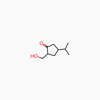 CC(C)C1CC(=O)C(CO)C1